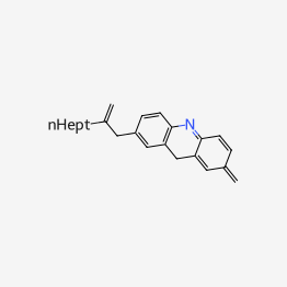 C=C(CCCCCCC)Cc1ccc2c(c1)Cc1cc(=C)ccc1=N2